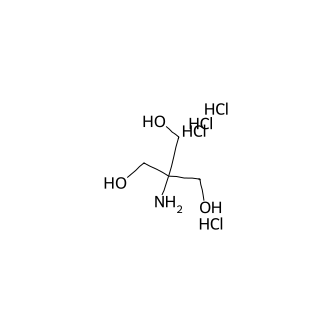 Cl.Cl.Cl.Cl.NC(CO)(CO)CO